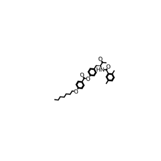 CCCCCCCOc1ccc(C(=O)Oc2ccc(C[C@H](NC(=O)c3cc(C)ccc3C)C(C)=O)cc2)cc1